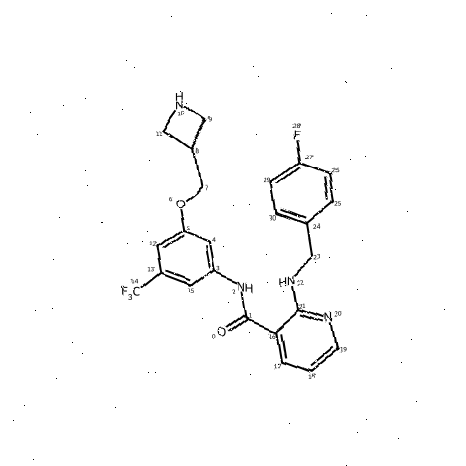 O=C(Nc1cc(OCC2CNC2)cc(C(F)(F)F)c1)c1cccnc1NCc1ccc(F)cc1